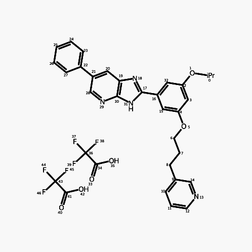 CC(C)Oc1cc(OCCCc2cccnc2)cc(-c2nc3cc(-c4ccccc4)cnc3[nH]2)c1.O=C(O)C(F)(F)F.O=C(O)C(F)(F)F